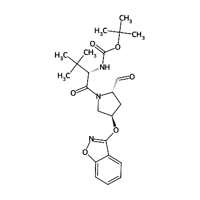 CC(C)(C)OC(=O)N[C@H](C(=O)N1C[C@H](Oc2noc3ccccc23)C[C@H]1C=O)C(C)(C)C